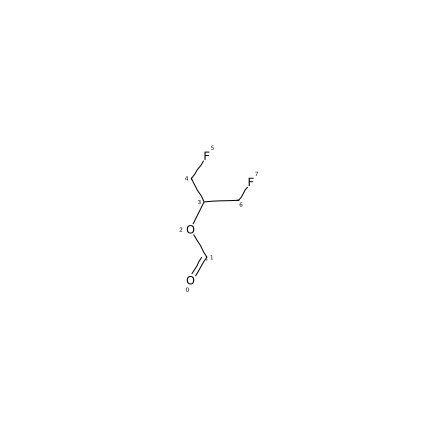 O=[C]OC(CF)CF